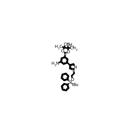 CC1(C)OB(c2cc(N)cc(-c3cnn(CCO[Si](c4ccccc4)(c4ccccc4)C(C)(C)C)c3)c2)OC1(C)C